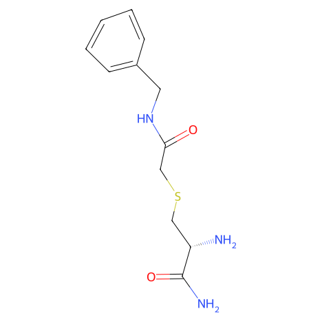 NC(=O)[C@@H](N)CSCC(=O)NCc1ccccc1